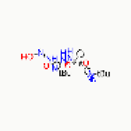 CN(CCO)CCNC(=O)c1cc(NC(=O)N[C@H]2CC[C@@H](Oc3ccc4nnc(C(C)(C)C)n4c3)c3ccccc32)cc(C(C)(C)C)n1